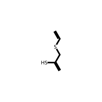 C=CSCC(=C)S